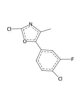 Cc1nc(Cl)oc1-c1ccc(Cl)c(F)c1